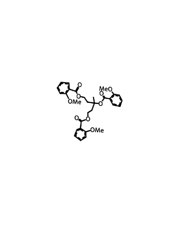 COc1ccccc1C(=O)OCCC(C)(CCOC(=O)c1ccccc1OC)OC(=O)c1ccccc1OC